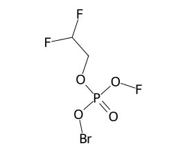 O=P(OF)(OBr)OCC(F)F